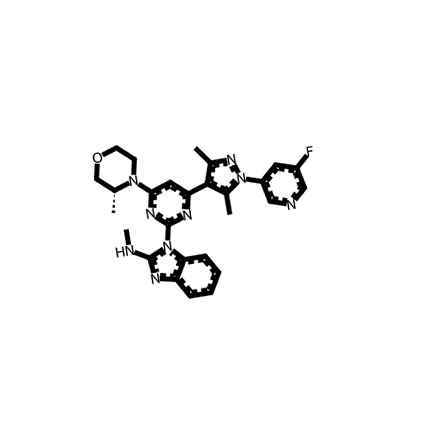 CNc1nc2ccccc2n1-c1nc(-c2c(C)nn(-c3cncc(F)c3)c2C)cc(N2CCOC[C@H]2C)n1